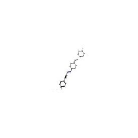 CC[C@H]1CC[C@H](CCC2CCC(/C=C/C#Cc3ccc(OC)cc3)CC2)CC1